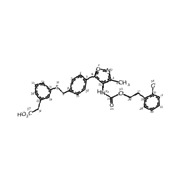 Cc1noc(-c2ccc(CSc3cccc(CC(=O)O)c3)cc2)c1NC(=O)OCCc1ccccc1Cl